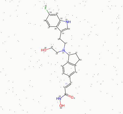 O=C(/C=C/c1ccc2c(c1)CCC2N(CCO)CCc1c[nH]c2cc(F)ccc12)NO